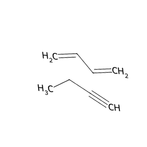 C#CCC.C=CC=C